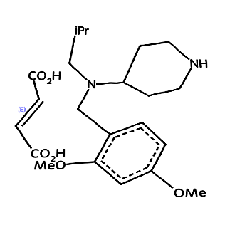 COc1ccc(CN(CC(C)C)C2CCNCC2)c(OC)c1.O=C(O)/C=C/C(=O)O